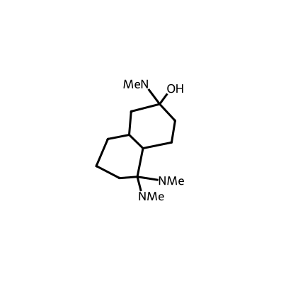 CNC1(O)CCC2C(CCCC2(NC)NC)C1